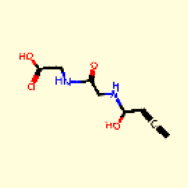 C=C=CC(O)NCC(=O)NCC(=O)O